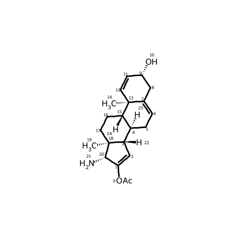 CC(=O)OC1=C[C@H]2[C@@H]3CC=C4C[C@@H](O)C=C[C@]4(C)[C@H]3CC[C@]2(C)[C@H]1N